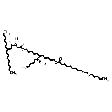 CCCCCCCCC(CCCCCC)CC(=O)N(C)CC(=O)OCCCCCC(CCCCCOC(=O)CCCCCCCCSCSCCCCC)N(C)CCCCO